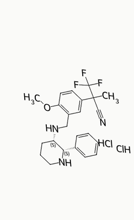 COc1ccc(C(C)(C#N)C(F)(F)F)cc1CN[C@H]1CCCN[C@H]1c1ccccc1.Cl.Cl